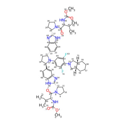 COC(=O)NC(C(=O)N1CCC[C@H]1c1nc2cc([C@H]3CC[C@H](c4ccc5[nH]c([C@@H]6CCCN6C(=O)C(NC(=O)OC)C(C)C)nc5c4)N3c3cc(F)c(N4C[C@H]5CCCC[C@H]5C4)c(F)c3)ccc2[nH]1)C(C)C